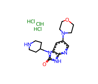 Cl.Cl.Cl.O=c1[nH]c2ncc(N3CCOCC3)cc2n1C1CCNCC1